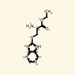 CCOC(=O)[C@@H](N)CSc1nc2ncncc2[nH]1